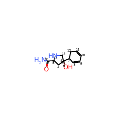 NC(=O)[C@@H]1C[C@@](O)(C2C=CC=CC2)CN1